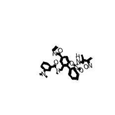 Cc1noc(NS(=O)(=O)c2ccccc2-c2ccc(-c3ncco3)cc2CN(C)C(=O)c2cccc(N(C)C)c2)c1C